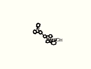 OBC1=c2oc3c(-n4c5ccccc5c5cc(-c6ccc7c(c6)c6ccccc6n7-c6ccccc6)ccc54)cccc3c2=CC=CC1